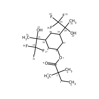 CCC(C)(C)C(=O)OC1CC(C(C)(O)C(F)(F)F)CC(C(C)(O)C(F)(F)F)C1